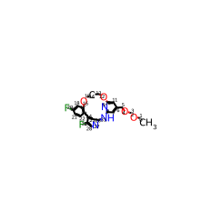 CCOCOCc1cc2nc(c1)OCCCOc1cc(F)ccc1-c1cc(ncc1F)N2